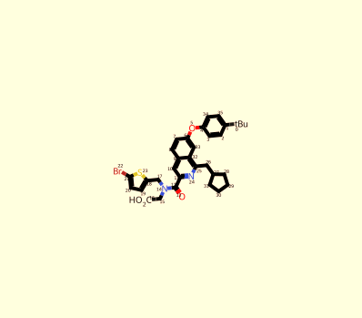 CC(C)(C)c1ccc(Oc2ccc3cc(C(=O)N(CC(=O)O)Cc4ccc(Br)s4)nc(CC4CCCC4)c3c2)cc1